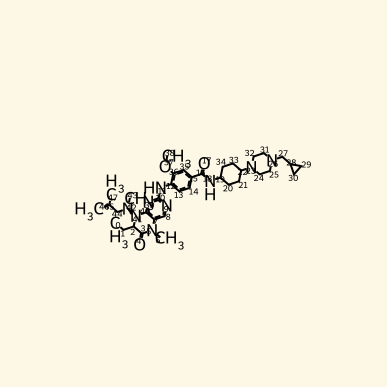 CCC1C(=O)N(C)c2cnc(Nc3ccc(C(=O)NC4CCC(N5CCN(CC6CC6)CC5)CC4)cc3OC)nc2N1N(C)CC(C)C